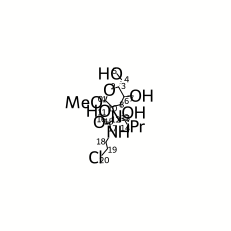 COC1O[C@H](CO)[C@@H](O)[C@H](O)[C@@]1(O)N(CC(C)C)C(=O)NCCCl